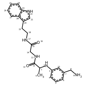 CC(Nc1cccc(CN)c1)C(=O)NCC(=O)NCCc1c[nH]c2ccccc12